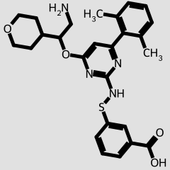 Cc1cccc(C)c1-c1cc(OC(CN)C2CCOCC2)nc(NSc2cccc(C(=O)O)c2)n1